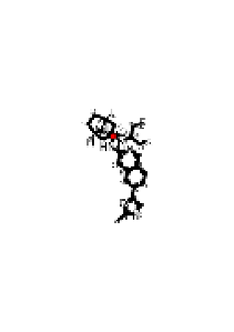 Cc1ncc(-c2ccc3cnc(NC(=O)N4[C@@H]5CC[C@H]4C[C@@H](NC(CF)CF)C5)cc3c2)o1